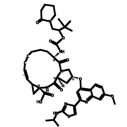 COc1ccc2c(O[C@@H]3C[C@H]4C(=O)N[C@]5(C(=O)O)CC5/C=C\CCCCC[C@H](NC(=O)OC(CN5CCCCC5=O)C(C)(C)C)C(=O)N4C3)cc(-c3csc(NC(C)C)n3)nc2c1